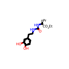 CCCC(NC(=O)NCCc1ccc(O)c(O)c1)C(=O)OCC